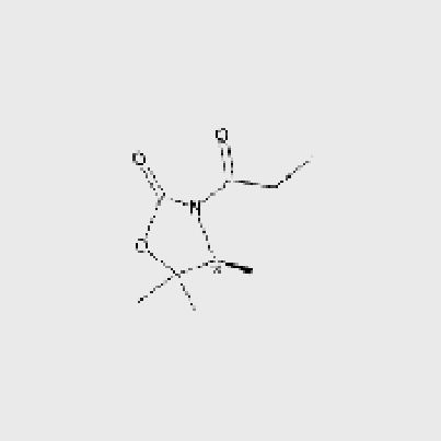 CCC(=O)N1C(=O)OC(C)(C)[C@@H]1C